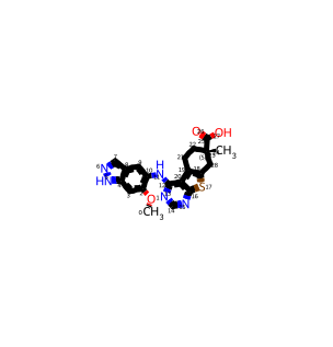 COc1cc2[nH]ncc2cc1Nc1ncnc2sc3c(c12)CC[C@](C)(C(=O)O)C3